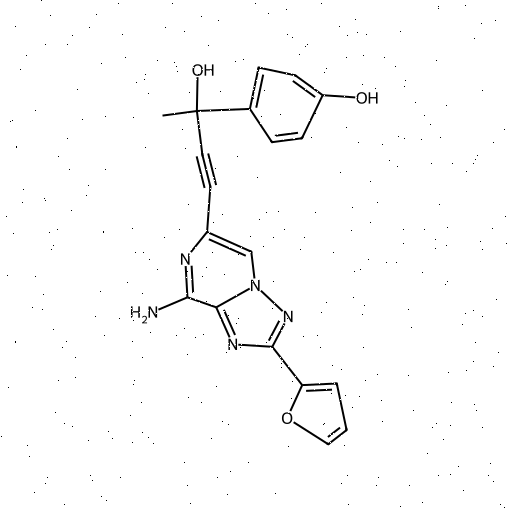 CC(O)(C#Cc1cn2nc(-c3ccco3)nc2c(N)n1)c1ccc(O)cc1